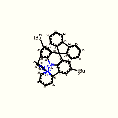 CC(C)(C)c1cc2c3c(c1)C1(c4ccccc4-c4ccccc41)c1cc(C(C)(C)C)cc4c1[N+]3([n+]1ccccc1-2)[n+]1ccccc1-4